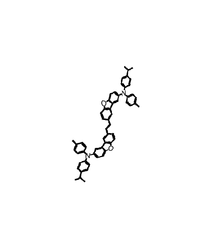 Cc1ccc(N(c2ccc(C(C)C)cc2)c2ccc3oc4ccc(/C=C/c5ccc6oc7ccc(N(c8ccc(C)cc8)c8ccc(C(C)C)cc8)cc7c6c5)cc4c3c2)cc1